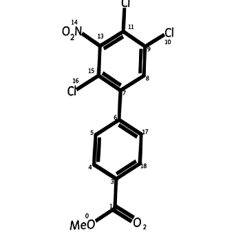 COC(=O)c1ccc(-c2cc(Cl)c(Cl)c([N+](=O)[O-])c2Cl)cc1